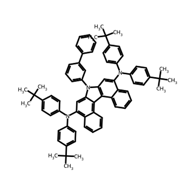 CC(C)(C)c1ccc(N(c2ccc(C(C)(C)C)cc2)c2cc3c(c4ccccc24)c2c4ccccc4c(N(c4ccc(C(C)(C)C)cc4)c4ccc(C(C)(C)C)cc4)cc2n3-c2cccc(-c3ccccc3)c2)cc1